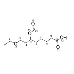 CCOCCC(CCCCC(=O)O)OC=O